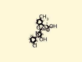 Cc1cccc([C@H](CC(=O)O)NC(=O)c2cc(O)n(-c3cccc(Cl)c3)n2)c1